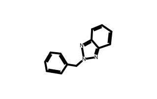 c1ccc(Cn2nc3ccccc3n2)cc1